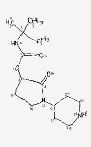 CC(C)(C)NC(=O)OC1CCN(C2CCNCC2)C1=O